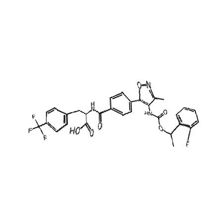 Cc1noc(-c2ccc(C(=O)NC(Cc3ccc(C(F)(F)F)cc3)C(=O)O)cc2)c1NC(=O)OC(C)c1ccccc1F